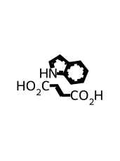 O=C(O)C=CC(=O)O.c1ccc2[nH]ccc2c1